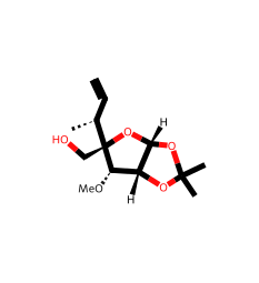 C=C[C@@H](C)[C@]1(CO)O[C@@H]2OC(C)(C)O[C@@H]2[C@@H]1OC